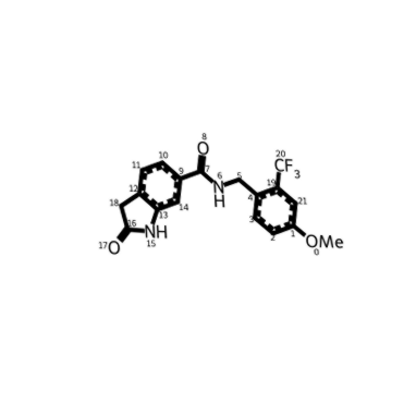 COc1ccc(CNC(=O)c2ccc3c(c2)NC(=O)C3)c(C(F)(F)F)c1